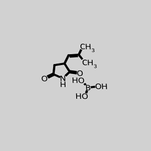 CC(C)=CC1CC(=O)NC1=O.OB(O)O